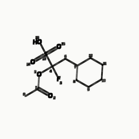 CC(=O)OC(F)(CC1CCCCC1)S(=O)(=O)O